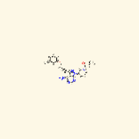 C=CC(=O)N1CCCC(n2nc(C#CCOc3cccc(C#N)c3)c3c(N)ncnc32)C1